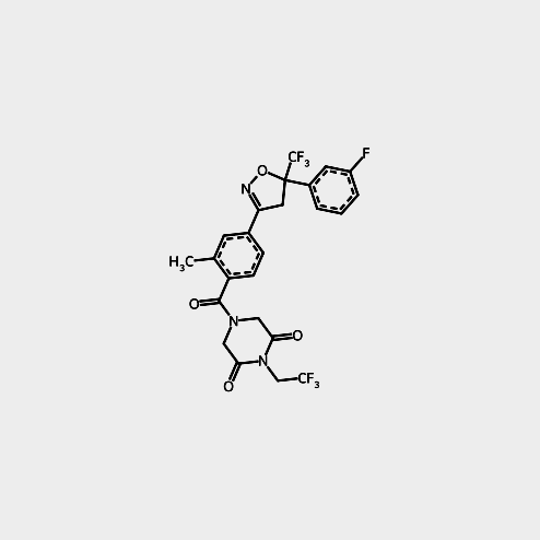 Cc1cc(C2=NOC(c3cccc(F)c3)(C(F)(F)F)C2)ccc1C(=O)N1CC(=O)N(CC(F)(F)F)C(=O)C1